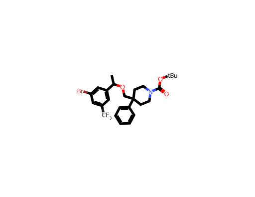 CC(OCC1(c2ccccc2)CCN(C(=O)OC(C)(C)C)CC1)c1cc(Br)cc(C(F)(F)F)c1